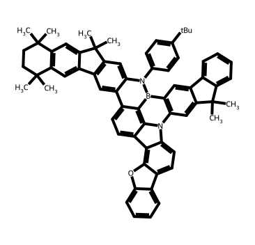 CC(C)(C)c1ccc(N2B3c4cc5c(cc4-n4c6ccc7c8ccccc8oc7c6c6ccc(c3c64)-c3cc4c(cc32)C(C)(C)c2cc3c(cc2-4)C(C)(C)CCC3(C)C)C(C)(C)c2ccccc2-5)cc1